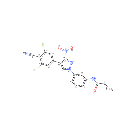 C=CC(=O)Nc1cccc(-n2cc(-c3cc(F)c(C#N)c(F)c3)c([N+](=O)[O-])n2)c1